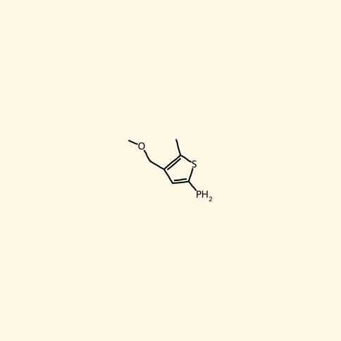 COCc1cc(P)sc1C